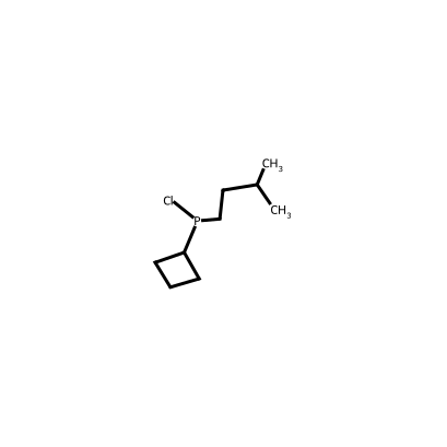 CC(C)CCP(Cl)C1CCC1